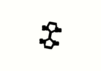 C1=C[Se]C(=C2[Se]C=C[Se]2)[Se]1